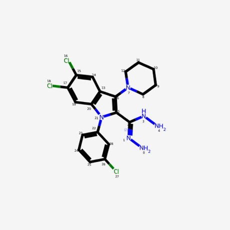 N/N=C(\NN)c1c(N2CCCCC2)c2cc(Cl)c(Cl)cc2n1-c1cccc(Cl)c1